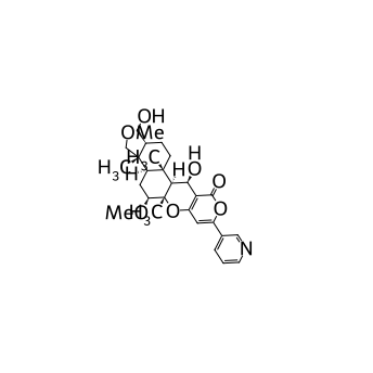 COC[C@]1(C)[C@@H](CO)CC[C@@]2(C)[C@H]1C[C@H](OC)[C@@]1(C)Oc3cc(-c4cccnc4)oc(=O)c3[C@H](O)[C@H]21